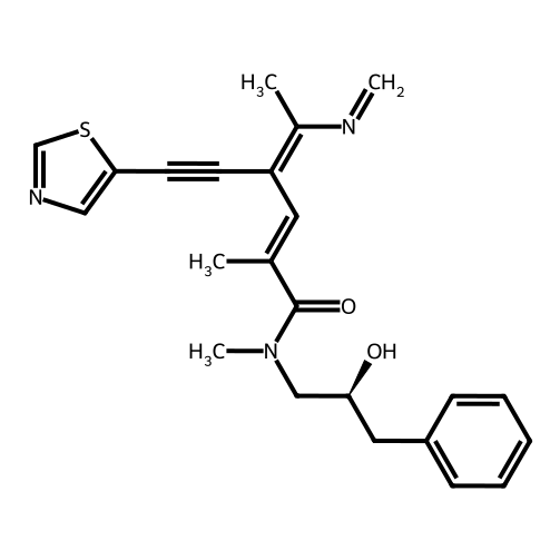 C=N/C(C)=C(C#Cc1cncs1)\C=C(/C)C(=O)N(C)C[C@@H](O)Cc1ccccc1